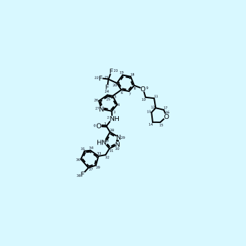 O=C(Nc1cc(-c2cc(OCCC3CCCOC3)ccc2C(F)(F)F)ccn1)c1nnc(Cc2cccc(F)c2)[nH]1